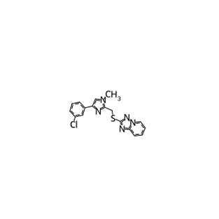 Cn1cc(-c2cccc(Cl)c2)nc1CSc1nc2ccccn2n1